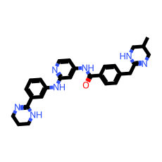 CC1CN=C(Cc2ccc(C(=O)Nc3ccnc(Nc4cccc(C5=NCCCN5)c4)c3)cc2)NC1